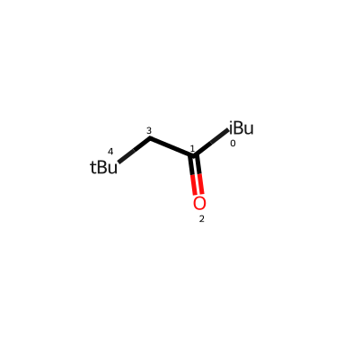 CCC(C)C(=O)CC(C)(C)C